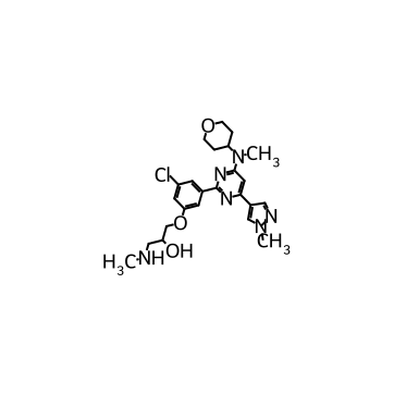 CNCC(O)COc1cc(Cl)cc(-c2nc(-c3cnn(C)c3)cc(N(C)C3CCOCC3)n2)c1